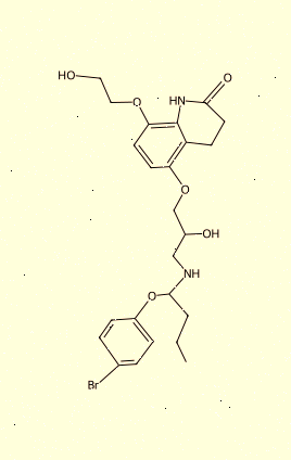 CCCC(NCC(O)COc1ccc(OCCO)c2c1CCC(=O)N2)Oc1ccc(Br)cc1